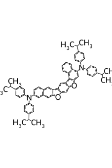 CC(C)c1ccc(N(c2ccc(C(C)C)cc2)c2ccc3cc4c(cc3c2)oc2cc3oc5cc(N(c6ccc(C(C)C)cc6)c6ccc(C(C)C)cc6)c6ccccc6c5c3cc24)cc1